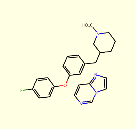 O=C(O)N1CCCC(Cc2cccc(Oc3ccc(F)cc3)c2)C1.c1cc2nccn2cn1